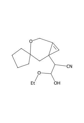 CCOC(O)C(C#N)C12C=C1COC1(CCCC1)C2